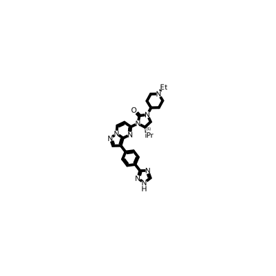 CCN1CCC(N2C[C@H](C(C)C)N(c3ccn4ncc(-c5ccc(-c6nc[nH]n6)cc5)c4n3)C2=O)CC1